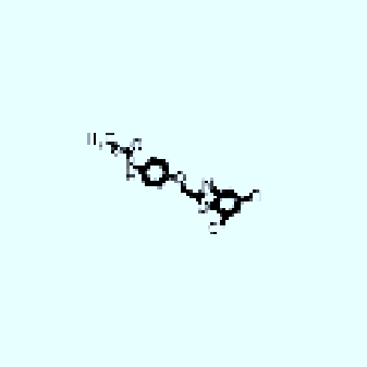 COC(=O)Nc1ccc(OCc2nc3cc(Cl)cc(Cl)c3o2)cc1